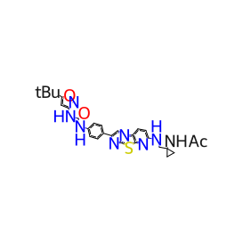 CC(=O)NC1(CNc2ccc3c(n2)sc2nc(-c4ccc(NC(=O)Nc5cc(C(C)(C)C)on5)cc4)cn23)CC1